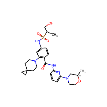 CC(CO)S(=O)(=O)Nc1ccc(C(=O)Nc2cccc(N3CCO[C@H](C)C3)n2)c(N2CCC3(CC2)CC3)c1